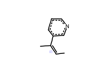 C/C=C(/C)c1cccnc1